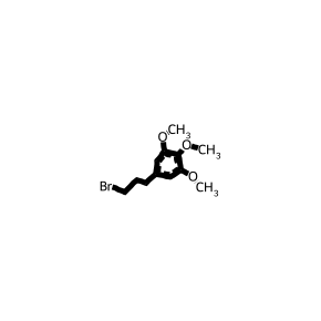 COc1cc(CCCBr)cc(OC)c1OC